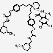 CN1CCOC(CNC(=O)COc2ccc(CCC[N+]3(CCCc4ccc(OCC(=O)NCC5CN(C)CCO5)cc4)CCC[C@H](NC(=O)c4nc(Cl)c(N)nc4N)C3)cc2)C1